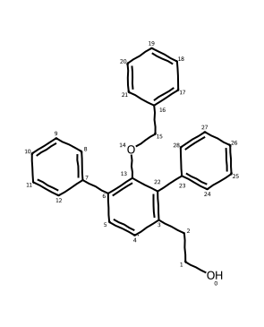 OCCc1[c]cc(-c2ccccc2)c(OCc2ccccc2)c1-c1ccccc1